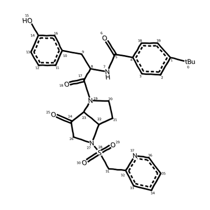 CC(C)(C)c1ccc(C(=O)NC(Cc2cccc(O)c2)C(=O)N2CCC3C2C(=O)CN3S(=O)(=O)Cc2ccccn2)cc1